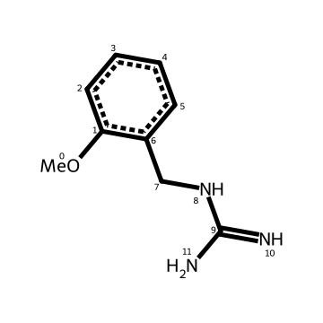 COc1ccccc1CNC(=N)N